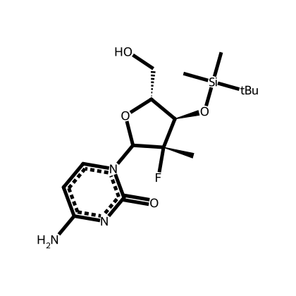 CC(C)(C)[Si](C)(C)O[C@@H]1[C@@H](CO)OC(n2ccc(N)nc2=O)[C@@]1(C)F